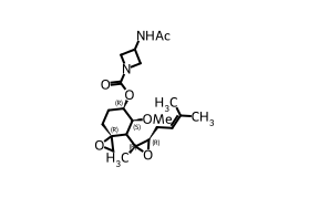 CO[C@H]1C([C@@]2(C)O[C@@H]2CC=C(C)C)[C@]2(CC[C@H]1OC(=O)N1CC(NC(C)=O)C1)CO2